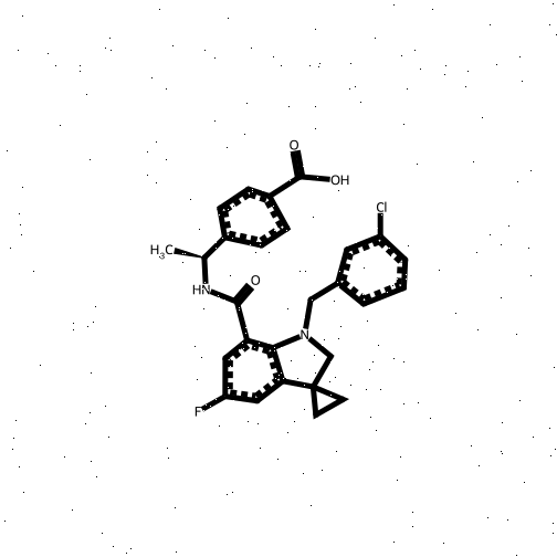 C[C@H](NC(=O)c1cc(F)cc2c1N(Cc1cccc(Cl)c1)CC21CC1)c1ccc(C(=O)O)cc1